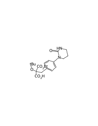 CCOC(=O)C(Cc1ccc(N2CCCNC2=O)cc1)(OC(C)(C)C)C(=O)O